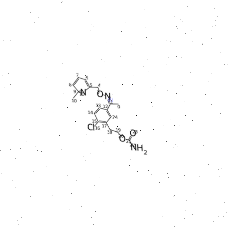 C/C(=N/OCc1cccc(C)n1)c1ccc(Cl)c(CCOC(N)=O)c1